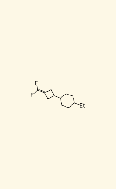 CCC1CCC(C2CC(=C(F)F)C2)CC1